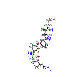 NCc1ccc(F)c(NC(=O)Nc2ccc(Oc3ccnc(-c4cc(C(=O)NCCCO)c[nH]4)c3)cc2)c1